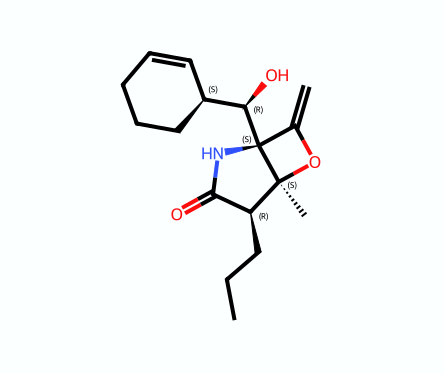 C=C1O[C@@]2(C)[C@@H](CCC)C(=O)N[C@@]12[C@H](O)[C@@H]1C=CCCC1